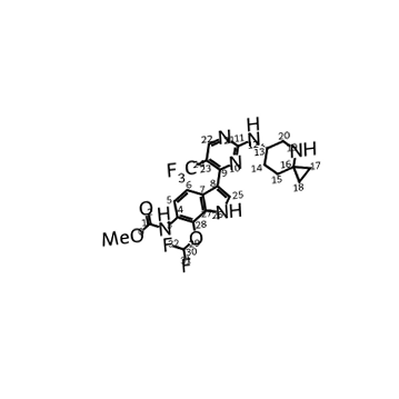 COC(=O)Nc1ccc2c(-c3nc(N[C@H]4CCC5(CC5)NC4)ncc3C(F)(F)F)c[nH]c2c1OC(F)F